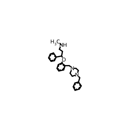 CNCCC(Oc1ccccc1CN1CCN(Cc2ccccc2)CC1)c1ccccc1